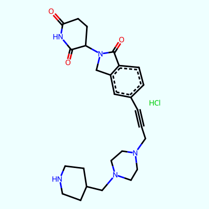 Cl.O=C1CCC(N2Cc3cc(C#CCN4CCN(CC5CCNCC5)CC4)ccc3C2=O)C(=O)N1